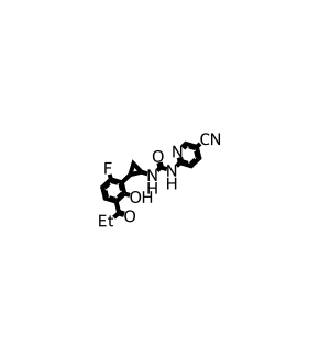 CCC(=O)c1ccc(F)c(C2CC2NC(=O)Nc2ccc(C#N)cn2)c1O